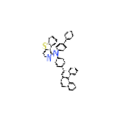 c1ccc(-c2ccc(N(c3ccc(-c4cc5ccc6ccccc6c5c5ccccc45)cc3)c3nccc4sc5ccccc5c34)cc2)cc1